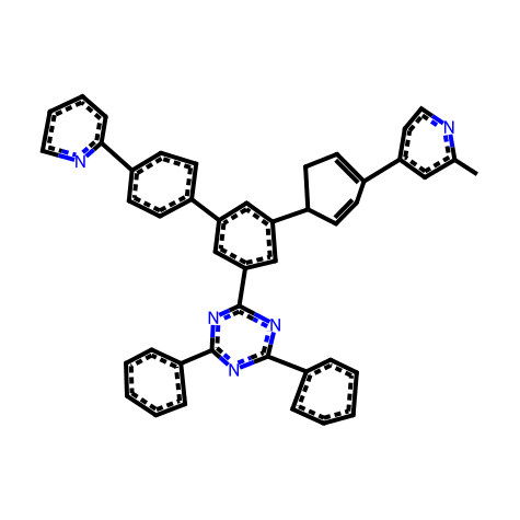 Cc1cc(C2=CCC(c3cc(-c4ccc(-c5ccccn5)cc4)cc(-c4nc(-c5ccccc5)nc(-c5ccccc5)n4)c3)C=C2)ccn1